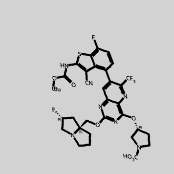 CC(C)(C)OC(=O)Nc1sc2c(F)ccc(-c3cc4nc(OC[C@@]56CCCN5C[C@H](F)C6)nc(O[C@@H]5CCN(C(=O)O)C5)c4nc3C(F)(F)F)c2c1C#N